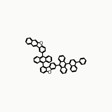 c1ccc(-c2ccc(-c3c4ccccc4c(-c4ccc5c(c4)oc4cccc(-c6c7ccccc7c(-c7ccc8oc9cc%10ccccc%10cc9c8c7)c7ccccc67)c45)c4ccccc34)c3ccccc23)cc1